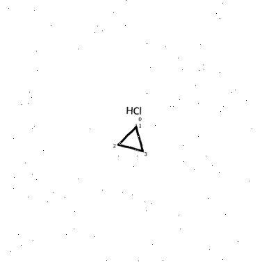 Cl.[CH]1CC1